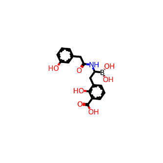 O=C(Cc1cccc(O)c1)NC(Cc1cccc(C(=O)O)c1O)B(O)O